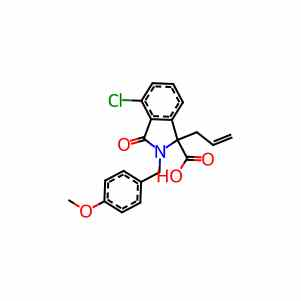 C=CCC1(C(=O)O)c2cccc(Cl)c2C(=O)N1Cc1ccc(OC)cc1